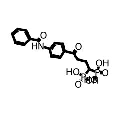 O=C(CCC(P(=O)(O)O)P(=O)(O)O)c1ccc(NC(=O)c2ccccc2)cc1